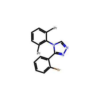 CC(C)c1cccc(C(C)C)c1-n1cnnc1-c1ccccc1Br